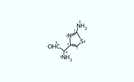 Nc1nc(C(N)[C]=O)cs1